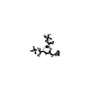 CC(C)(C)OC(=O)NCC(CNC(=O)OC(C)(C)C)CC1CO1